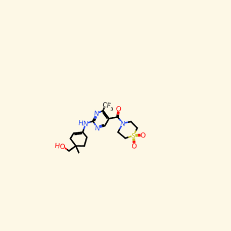 CC1(CO)CC=C(Nc2ncc(C(=O)N3CCS(=O)(=O)CC3)c(C(F)(F)F)n2)CC1